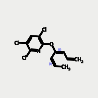 C=C/C=C(\C=C/C)Oc1nc(Cl)c(Cl)cc1Cl